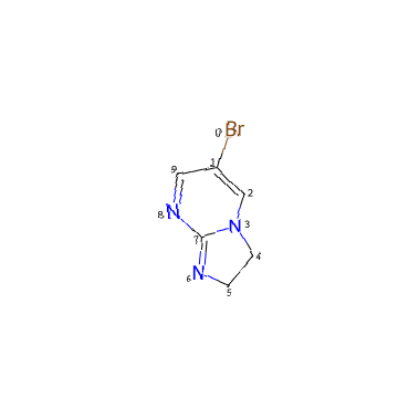 BrC1=CN2CCN=C2N=C1